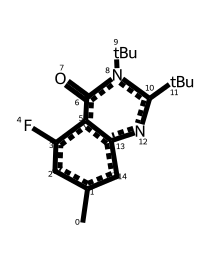 Cc1cc(F)c2c(=O)n(C(C)(C)C)c(C(C)(C)C)nc2c1